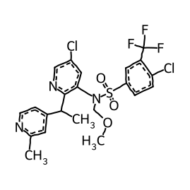 COCN(c1cc(Cl)cnc1C(C)c1ccnc(C)c1)S(=O)(=O)c1ccc(Cl)c(C(F)(F)F)c1